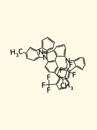 Cc1ccc2c(c1)c1ccccc1n2-c1ccc(-c2c(C(F)(F)F)cccc2C(F)(F)F)cc1-c1c(C#N)cccc1-n1c2ccccc2c2cc(C)ccc21